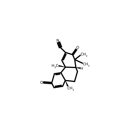 CC1(C)C(=O)C(C#N)=C[C@@]2(C)C3=CC(=O)C=C[C@@]3(C)CC[C@@H]12